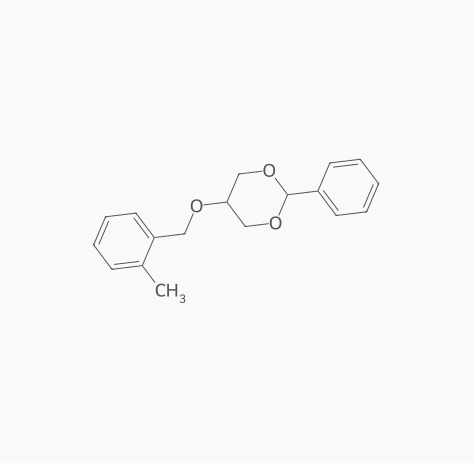 Cc1ccccc1COC1COC(c2ccccc2)OC1